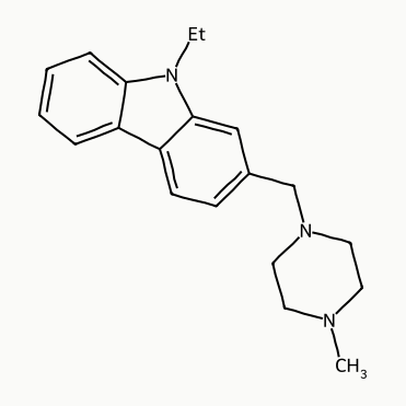 CCn1c2ccccc2c2ccc(CN3CCN(C)CC3)cc21